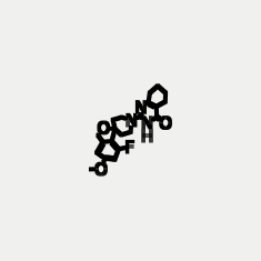 COc1cc(F)c2c(c1)COC21CCN(c2nc3c(c(=O)[nH]2)CCCC3)CC1